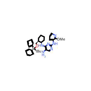 COc1ncccc1Nc1ncc(N)c(N[C@@H]2CCCC[C@@H]2CO[Si](c2ccccc2)(c2ccccc2)C(C)(C)C)n1